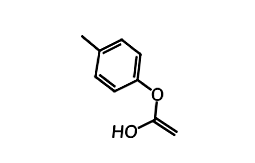 C=C(O)Oc1ccc(C)cc1